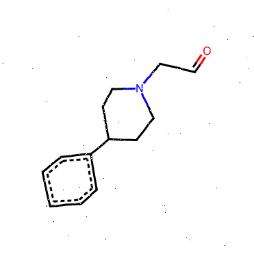 O=CCN1CCC(c2cc[c]cc2)CC1